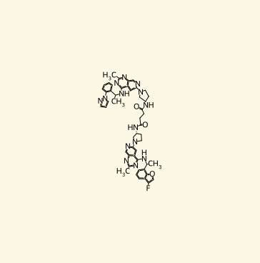 Cc1nc(NC(C)c2ccccc2-n2cccn2)c2cc(N3CC[C@@H](NC(=O)CCC(=O)N[C@@H]4CCN(c5cc6c(N[C@@H](C)c7cccc8c(F)coc78)nc(C)nc6cn5)C4)C3)ncc2n1